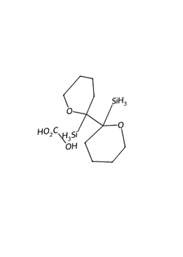 O=C(O)O.[SiH3]C1(C2([SiH3])CCCCO2)CCCCO1